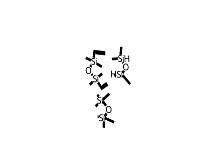 C=C[Si](C)(C)O[Si](C)(C)C=C.C[SiH](C)O[SiH](C)C.C[Si](C)(C)O[Si](C)(C)C